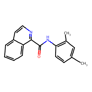 Cc1ccc(NC(=O)c2nccc3ccccc23)c(C)c1